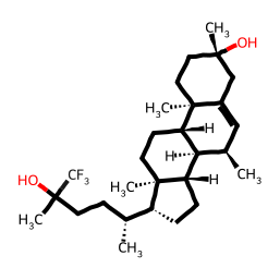 C[C@@H]1C=C2C[C@@](C)(O)CC[C@]2(C)[C@H]2CC[C@]3(C)[C@@H]([C@H](C)CCC(C)(O)C(F)(F)F)CC[C@H]3[C@H]12